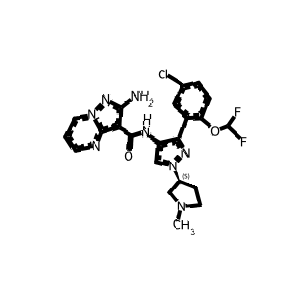 CN1CC[C@H](n2cc(NC(=O)c3c(N)nn4cccnc34)c(-c3cc(Cl)ccc3OC(F)F)n2)C1